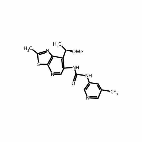 CO[C@H](C)c1c(NC(=O)Nc2cncc(C(F)(F)F)c2)cnc2sc(C)nc12